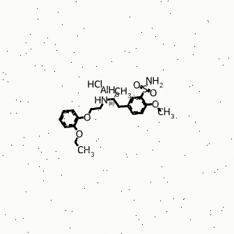 CCOc1ccccc1OCCN[C@H](C)Cc1ccc(OC)c(S(N)(=O)=O)c1.Cl.[AlH3]